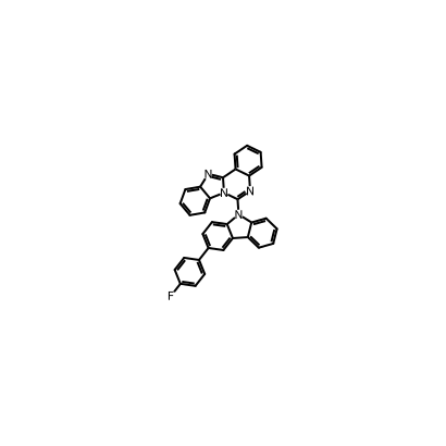 Fc1ccc(-c2ccc3c(c2)c2ccccc2n3-c2nc3ccccc3c3nc4ccccc4n23)cc1